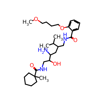 COCCCCOc1ccccc1C(=O)NCC(CC(N)C(O)CNC(=O)C1(C)CCCCC1)C(C)C